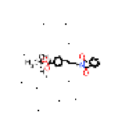 CC(C)(C)OC(=O)c1ccc(/C=C/CCN2C(=O)c3ccccc3C2=O)cc1